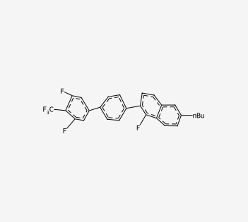 CCCCc1ccc2c(F)c(-c3ccc(-c4cc(F)c(C(F)(F)F)c(F)c4)cc3)ccc2c1